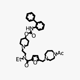 CCN(CCN1CCC(OC(=O)Nc2ccccc2-c2ccccc2)CC1)C(=O)c1ccc(CN2CCCN(C(C)=O)CC2)o1